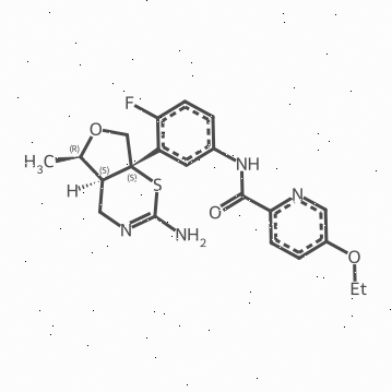 CCOc1ccc(C(=O)Nc2ccc(F)c([C@]34CO[C@H](C)[C@@H]3CN=C(N)S4)c2)nc1